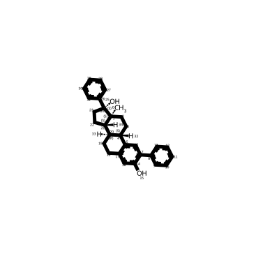 C[C@]12CC[C@@H]3c4cc(-c5ccccc5)c(O)cc4CC[C@H]3[C@@H]1CC[C@@]2(O)c1ccccc1